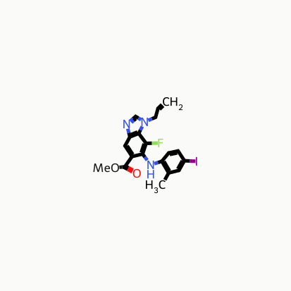 C=CCn1cnc2cc(C(=O)OC)c(Nc3ccc(I)cc3C)c(F)c21